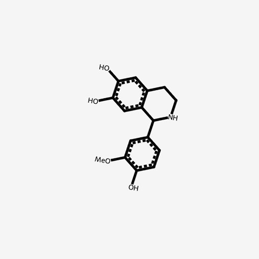 COc1cc(C2NCCc3cc(O)c(O)cc32)ccc1O